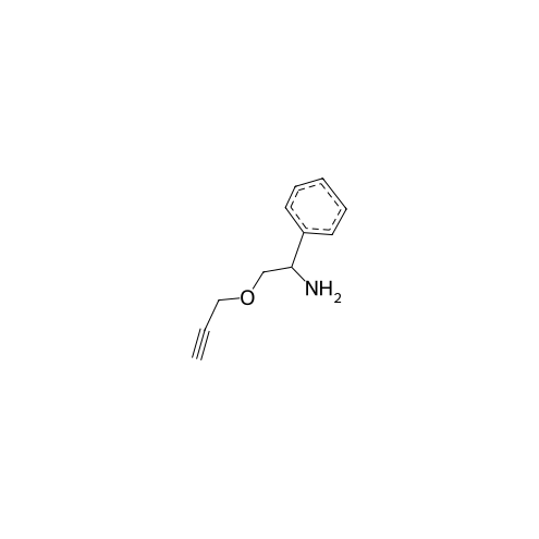 C#CCOCC(N)c1ccccc1